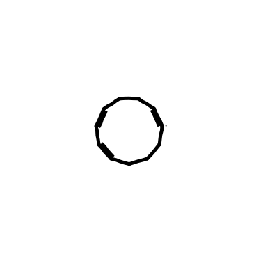 [C]1=CCCC=CC=CCCC1